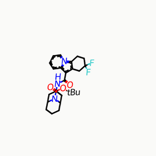 CC(C)(C)OC(=O)N1C2CCCC1CC(NC(=O)c1c3c(n4ccccc14)CCC(F)(F)C3)C2